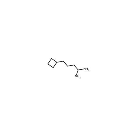 NC(N)CCCC1CCC1